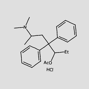 CCC(OC(C)=O)C(CC(C)N(C)C)(c1ccccc1)c1ccccc1.Cl